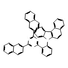 c1ccc(-n2c3ccccc3c3c4ccccc4ccc32)c(-c2nc(-c3ccc4ccccc4c3)nc(-c3ccc4ccccc4c3)n2)c1